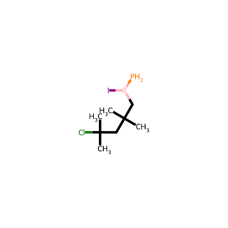 CC(C)(Cl)CC(C)(C)CB(P)I